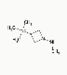 CNN1CC([N+](C)(C)C)C1